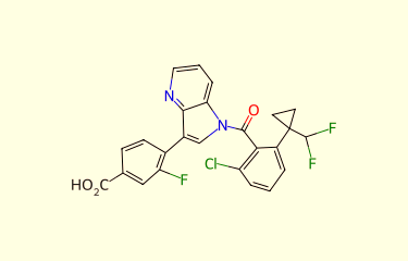 O=C(O)c1ccc(-c2cn(C(=O)c3c(Cl)cccc3C3(C(F)F)CC3)c3cccnc23)c(F)c1